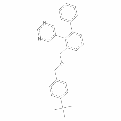 CC(C)(C)c1ccc(COCc2cccc(-c3ccccc3)c2-c2cncnc2)cc1